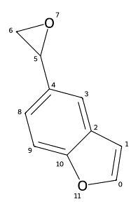 c1cc2cc(C3CO3)ccc2o1